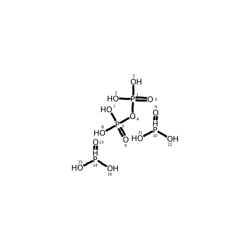 O=P(O)(O)OP(=O)(O)O.O=[PH](O)O.O=[PH](O)O